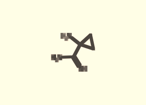 N=C(N)C1(N)CC1